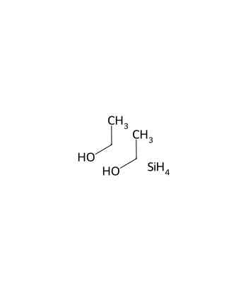 CCO.CCO.[SiH4]